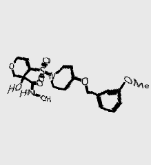 COc1cccc(COC2CCN(S(=O)(=O)C3CCOCC3(O)C(=O)NO)CC2)c1